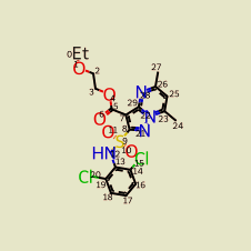 CCOCCOC(=O)c1c(S(=O)(=O)Nc2c(Cl)cccc2Cl)nn2c(C)cc(C)nc12